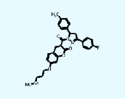 Cc1ccc(C2CC(c3ccc(F)cc3)=NN2C(=O)C2Cc3ccc(OCCC[Se]C#N)cc3OC2=O)cc1